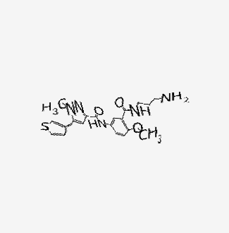 COc1ccc(NC(=O)c2cc(-c3ccsc3)n(C)n2)cc1C(=O)NCCCN